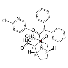 CN(Cc1ccc(Cl)nc1)C(=O)N1[C@H]2CC[C@@H]1[C@@H](C(=O)O)N(C(=O)N(c1ccccc1)c1ccccc1)C2